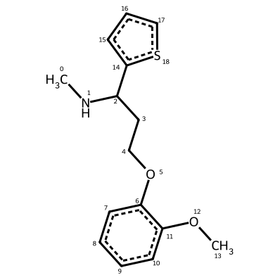 CNC(CCOc1ccccc1OC)c1cccs1